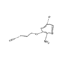 C#CCCCOc1cc(Br)cnc1N